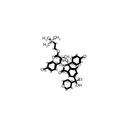 CC[C@](O)(c1cc(F)c2c(c1)C(=O)N([C@H](c1ccc(Cl)cc1)[C@H](C)C(=O)OCC[Si](C)(C)C)[C@@]2(OC)c1ccc(Cl)cc1)C1CCOCC1